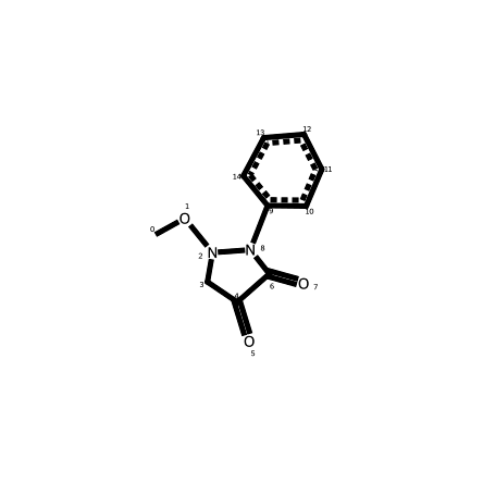 CON1CC(=O)C(=O)N1c1ccccc1